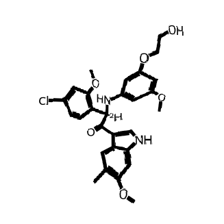 [2H][C@](Nc1cc(OC)cc(OCCO)c1)(C(=O)c1c[nH]c2cc(OC)c(C)cc12)c1ccc(Cl)cc1OC